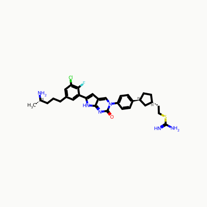 C[C@H](N)CCCc1cc(Cl)c(F)c(-c2cc3cn(-c4ccc([C@H]5CC[C@H](CCSC(=N)N)C5)cc4)c(=O)nc3[nH]2)c1